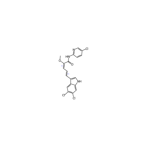 CO/C(=C/C=C/c1c[nH]c2cc(Cl)c(Cl)cc12)C(=O)Nc1ccc(Cl)cn1